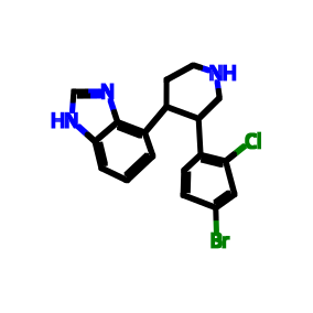 Clc1cc(Br)ccc1C1CNCCC1c1cccc2[nH]cnc12